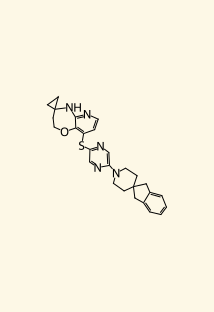 c1ccc2c(c1)CC1(CCN(c3cnc(Sc4ccnc5c4OCCC4(CC4)N5)cn3)CC1)C2